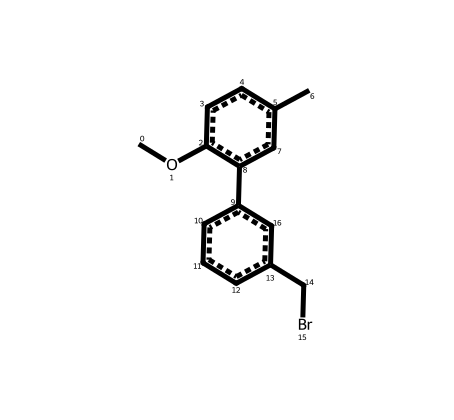 COc1ccc(C)cc1-c1cccc(CBr)c1